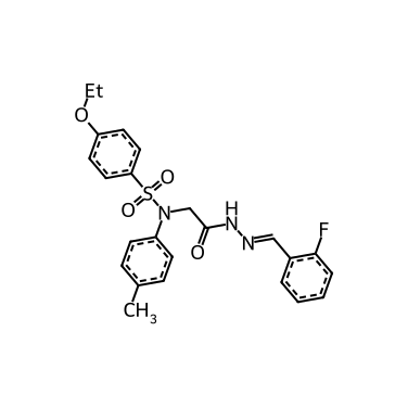 CCOc1ccc(S(=O)(=O)N(CC(=O)NN=Cc2ccccc2F)c2ccc(C)cc2)cc1